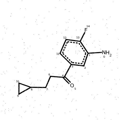 Nc1cc(C(=O)CCC2CC2)ccc1F